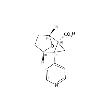 O=C(O)[C@]12C[C@@]1(c1ccncc1)[C@@H]1CC[C@H]2O1